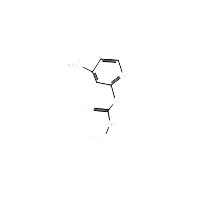 CCOC(=O)NC(=S)Nc1cc(OC)ccn1